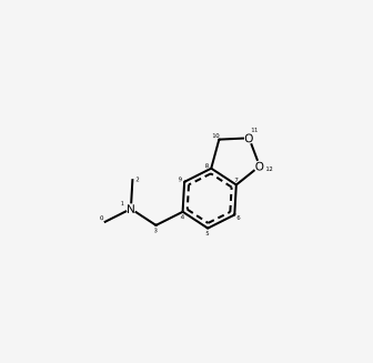 CN(C)Cc1ccc2c(c1)COO2